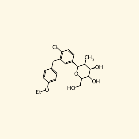 CCOc1ccc(Cc2cc([C@@H]3O[C@H](CO)C(O)[C@H](O)C3C)ccc2Cl)cc1